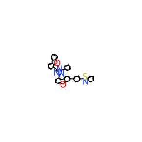 c1ccc(-c2nc(-c3cccc4c3oc3ccccc34)nc(-c3cccc4oc5cc(-c6ccc(-c7nc8ccccc8s7)cc6)ccc5c34)n2)cc1